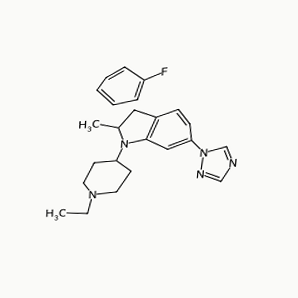 CCN1CCC(N2c3cc(-n4cncn4)ccc3CC2C)CC1.Fc1ccccc1